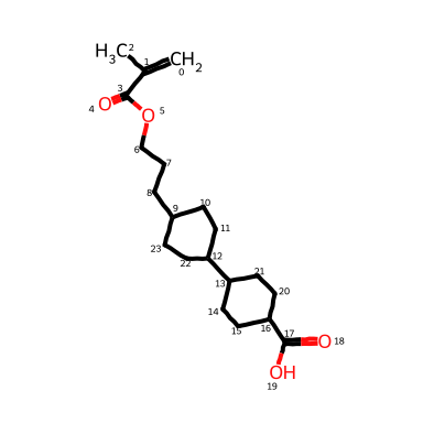 C=C(C)C(=O)OCCCC1CCC(C2CCC(C(=O)O)CC2)CC1